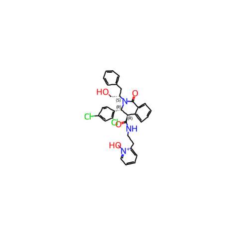 O=C(NCCc1cccc[n+]1O)[C@@H]1c2ccccc2C(=O)N([C@H](CO)Cc2ccccc2)[C@H]1c1ccc(Cl)cc1Cl